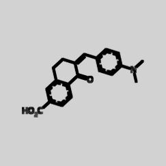 CN(C)c1ccc(C=C2CCc3cc(C(=O)O)ccc3C2=O)cc1